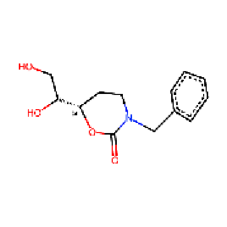 O=C1O[C@H](C(O)CO)CCN1Cc1ccccc1